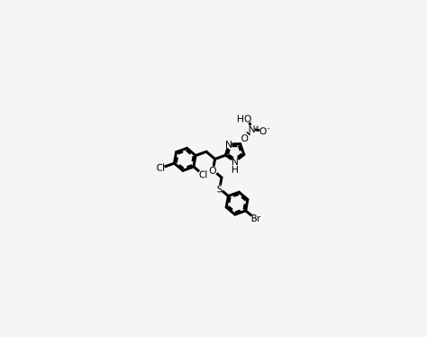 Clc1ccc(CC(OCSc2ccc(Br)cc2)c2ncc[nH]2)c(Cl)c1.O=[N+]([O-])O